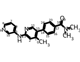 Cc1cc(Nc2cccnc2)ncc1-c1ccc(C(=O)N(C)C)cc1